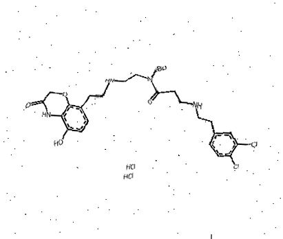 CCC(C)N(CCNCCc1ccc(O)c2c1OCC(=O)N2)C(=O)CCNCCc1ccc(Cl)c(Cl)c1.Cl.Cl